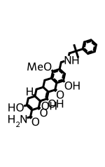 COc1c(CNCC(C)(C)c2ccccc2)cc(O)c2c1CC1C[C@H]3CC(O)=C(C(N)=O)C(=O)[C@@]3(O)C(O)=C1C2=O